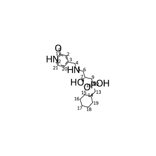 O=c1cc(CNC[C@@H](O)CP(=O)(O)CC2CCCCC2)cc[nH]1